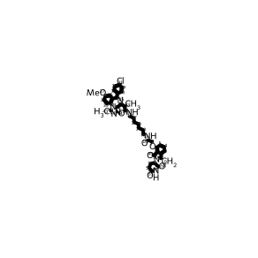 C=C1c2cccc(OCC(=O)NCCCCCCCNC(=O)[C@H](C)[C@@H]3N=C(c4ccc(Cl)cc4)c4cc(OC)ccc4-n4c(C)nnc43)c2C(=O)N1C1CCC(=O)NC1=O